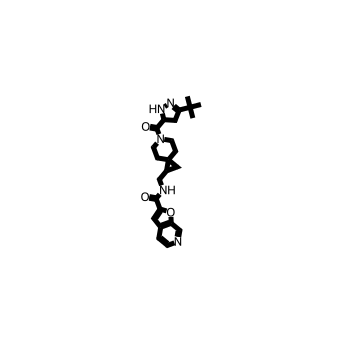 CC(C)(C)C1=NNC(C(=O)N2CCC3(CC2)CC3CNC(=O)c2cc3ccncc3o2)C1